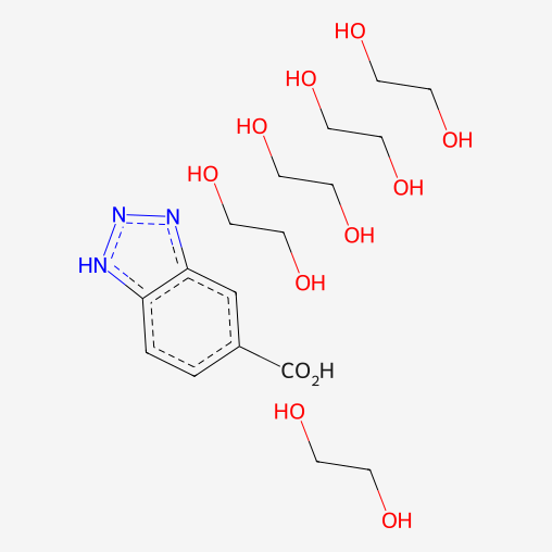 O=C(O)c1ccc2[nH]nnc2c1.OCCO.OCCO.OCCO.OCCO.OCCO